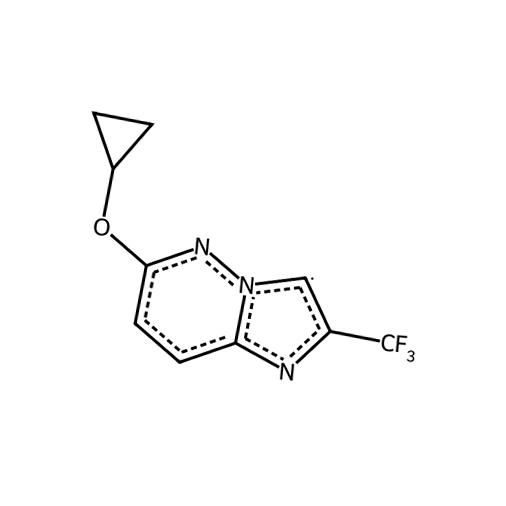 FC(F)(F)c1[c]n2nc(OC3CC3)ccc2n1